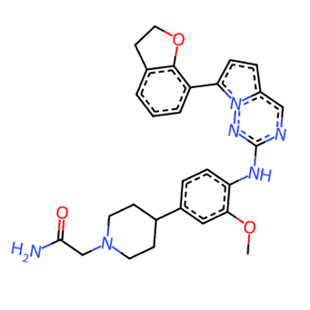 COc1cc(C2CCN(CC(N)=O)CC2)ccc1Nc1ncc2ccc(-c3cccc4c3OCC4)n2n1